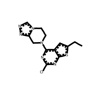 CCc1cc2c(N3CCn4cnnc4C3)nc(Cl)nc2s1